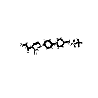 CC(C)(C)[Si](C)(C)OCC1CCN(c2ccc(N3C=CC(C(=O)C=O)NC3)cc2)CC1